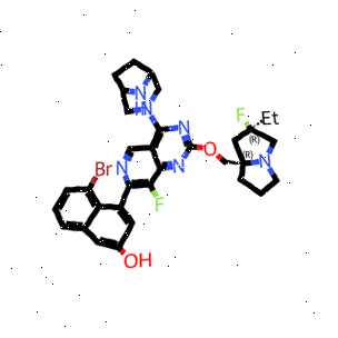 CC[C@]1(F)CN2CCC[C@]2(COc2nc(N3CC4CCC(C3)N4)c3cnc(-c4cc(O)cc5cccc(Br)c45)c(F)c3n2)C1